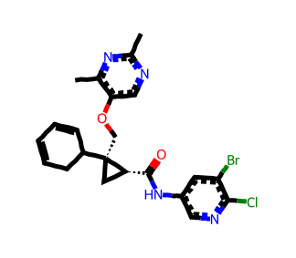 Cc1ncc(OC[C@@]2(C3C=CC=CC3)C[C@H]2C(=O)Nc2cnc(Cl)c(Br)c2)c(C)n1